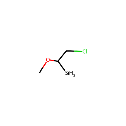 COC([SiH3])CCl